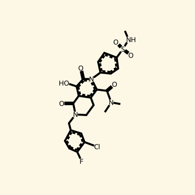 CNS(=O)(=O)c1ccc(-n2c(C(=O)N(C)C)c3c(c(O)c2=O)C(=O)N(Cc2ccc(F)c(Cl)c2)CC3)cc1